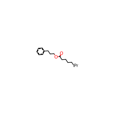 CC(C)CCCCC(=O)OCCCc1ccccc1